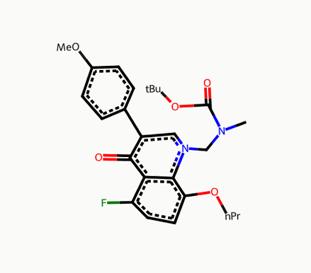 CCCOc1ccc(F)c2c(=O)c(-c3ccc(OC)cc3)cn(CN(C)C(=O)OC(C)(C)C)c12